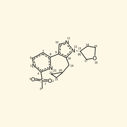 CS(=O)(=O)c1nccc(-c2cnn([C@@H]3CCOC3)c2CC2CC2)n1